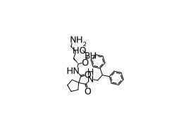 NCCC[C@H](NC(=O)C1(C(=O)NCC(c2ccccc2)c2ccccc2)CCCC1)OBO